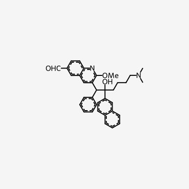 COc1nc2ccc(C=O)cc2cc1C(c1ccccc1)C(O)(CCCCN(C)C)c1ccc2ccccc2c1